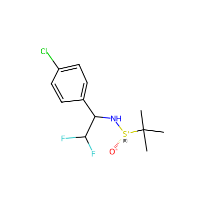 CC(C)(C)[S@+]([O-])NC(c1ccc(Cl)cc1)C(F)F